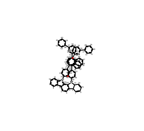 C1=CC2c3ccc4c5ccccc5n(-c5ccc(-c6ccc(-c7cccc(-c8ccccc8)n7)c7ccccc67)cc5)c4c3N(c3ccc(-c4ccc(-c5cccc(-c6ccccc6)n5)c5ccccc45)cc3)C2C=C1